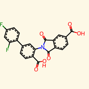 O=C(O)c1ccc2c(c1)C(=O)N(c1cc(-c3ccc(F)cc3F)ccc1C(=O)O)C2=O